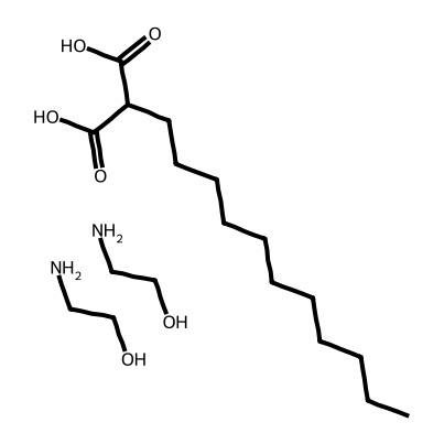 CCCCCCCCCCCC(C(=O)O)C(=O)O.NCCO.NCCO